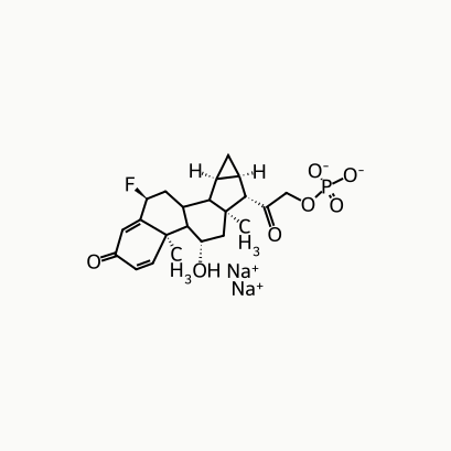 C[C@]12C=CC(=O)C=C1[C@@H](F)CC1C2[C@@H](O)C[C@@]2(C)C1[C@H]1C[C@H]1[C@@H]2C(=O)COP(=O)([O-])[O-].[Na+].[Na+]